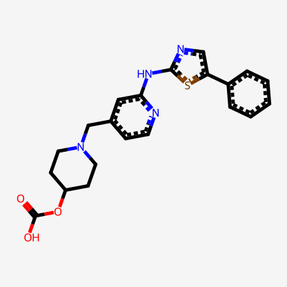 O=C(O)OC1CCN(Cc2ccnc(Nc3ncc(-c4ccccc4)s3)c2)CC1